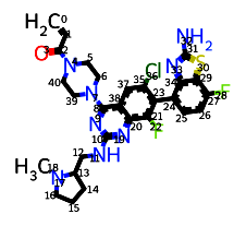 C=CC(=O)N1CCN(c2nc(NCC3CCCN3C)nc3c(F)c(-c4ccc(F)c5sc(N)nc45)c(Cl)cc23)CC1